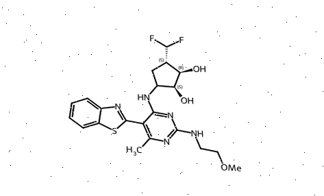 COCCNc1nc(C)c(-c2nc3ccccc3s2)c(NC2C[C@H](C(F)F)[C@@H](O)[C@H]2O)n1